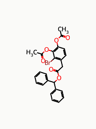 CC(=O)Oc1ccc(CC(=O)OC(c2ccccc2)c2ccccc2)c(Br)c1OC(C)=O